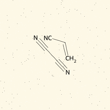 C=CC#N.N#CC#N